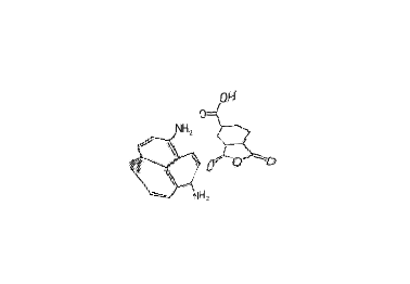 Nc1ccc2cccc3c2c1C=CC3N.O=C(O)C1CCC2C(=O)OC(=O)C2C1